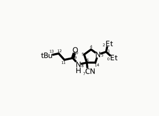 CCC(CC)N1CCC(C#N)(NC(=O)[CH]CC(C)(C)C)C1